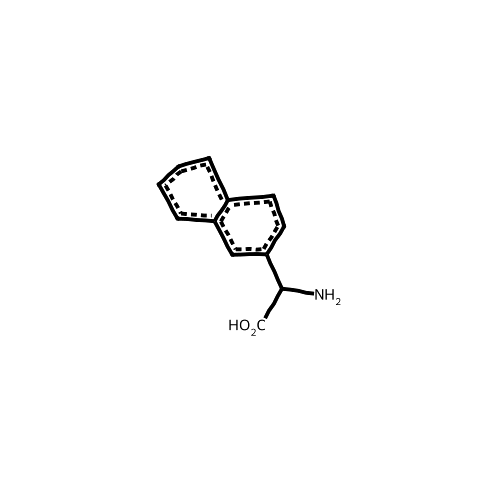 NC(C(=O)O)c1ccc2ccccc2c1